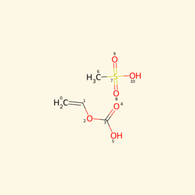 C=COC(=O)O.CS(=O)(=O)O